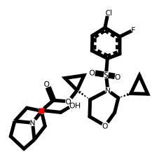 O=C(OC1([C@H]2COC[C@@H](C3CC3)N2S(=O)(=O)c2ccc(Cl)c(F)c2)CC1)N1CC2CCC(C1)N2CCO